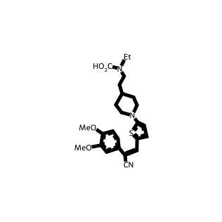 CCN(CCC1CCN(c2ccc(C=C(C#N)c3ccc(OC)c(OC)c3)s2)CC1)C(=O)O